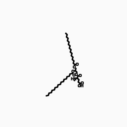 CCCCCCCCCCCCCCCCCC(=O)OCC(COC(=O)C(CCC(=O)O)NC)OC(=O)CCCCCCCCCCCCCCCCC